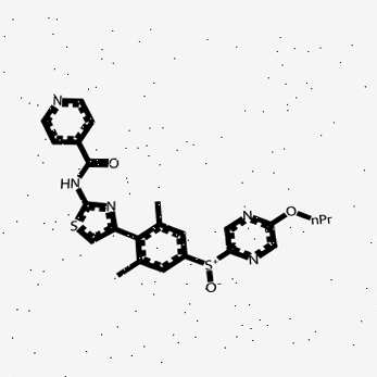 CCCOc1cnc([S+]([O-])c2cc(C)c(-c3csc(NC(=O)c4ccncc4)n3)c(C)c2)cn1